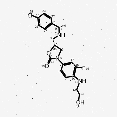 C[C@H](NC[C@@H]1CN(c2ccc(NCCO)c(F)c2)C(=O)O1)c1ccc(Cl)cc1